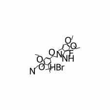 Br.CCOc1cc(C(=O)CN2Cc3cc(OCC)c(OCC)c(F)c3C2=N)cc(C(C)(C)C)c1OCC#N